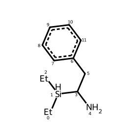 CC[SiH](CC)C(N)Cc1ccccc1